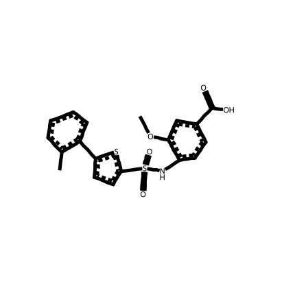 COc1cc(C(=O)O)ccc1NS(=O)(=O)c1ccc(-c2ccccc2C)s1